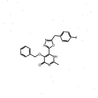 Cc1nc(=O)c(OCc2ccccc2)c(-c2nnc(Cc3ccc(F)cc3)o2)[nH]1